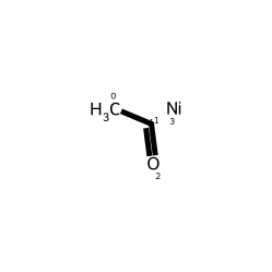 C[C]=O.[Ni]